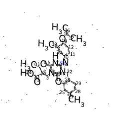 CC[C@@H](Cn1c(=O)[nH]/c(=N\c2ccc(OC(C)C)c(C)c2)n(Cc2ccc(C)cc2)c1=O)C(=O)O